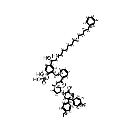 C[N+]1(CC(=O)c2cccc[n+]2Cc2cc(C(O)CNCCCCCCOCCCCc3ccccc3)ccc2OP(=O)(O)O)CC[C@@H](N2CC(c3ccc(F)cc3)(c3ccc(F)cc3)NC2=O)C1